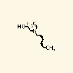 C=CN(C/C=C\C=C/C)CCO